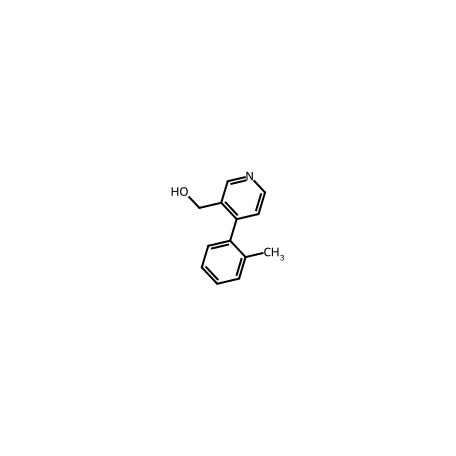 Cc1ccccc1-c1ccncc1CO